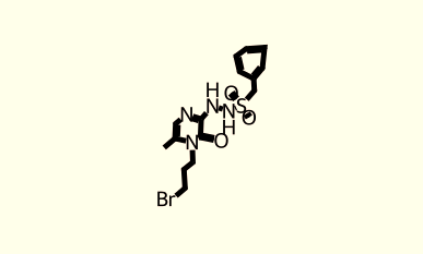 Cc1cnc(NNS(=O)(=O)Cc2ccccc2)c(=O)n1CCCBr